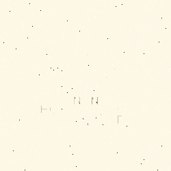 OCc1nc2n(n1)[C@H](c1ccccc1)C[C@@H]2F